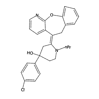 CCCN1CCC(O)(c2ccc(Cl)cc2)CC1=C1Cc2ccccc2Oc2ncccc21